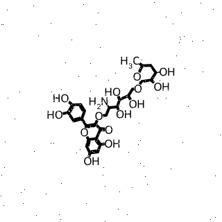 CC1C[C@H](O)C(O)C(OCC(O)C(O)C(O)[C@H](N)COc2c(-c3ccc(O)c(O)c3)oc3cc(O)cc(O)c3c2=O)O1